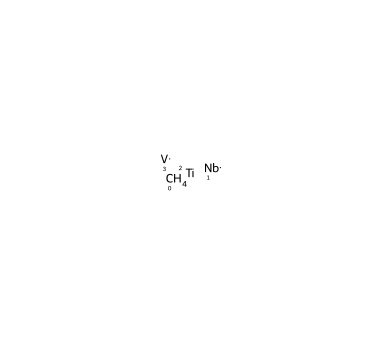 C.[Nb].[Ti].[V]